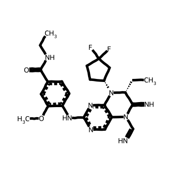 CCNC(=O)c1ccc(Nc2ncc3c(n2)N([C@@H]2CCC(F)(F)C2)[C@H](CC)C(=N)N3C=N)c(OC)c1